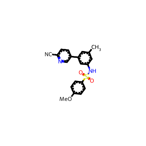 COc1ccc(S(=O)(=O)Nc2cc(C)cc(-c3ccc(C#N)nc3)c2)cc1